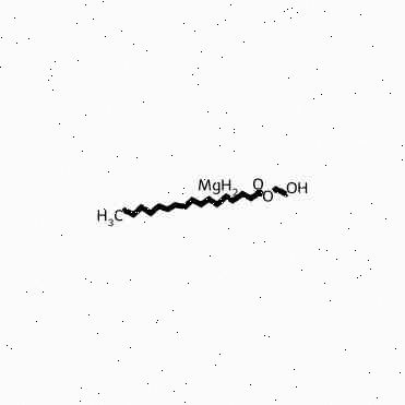 CCCCCCCCCCCCCCCCCC(=O)OCCO.[MgH2]